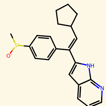 C[S+]([O-])c1ccc(C(=CC2CCCC2)c2cc3cccnc3[nH]2)cc1